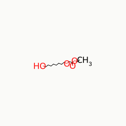 CCOC(=O)COCCCCCCCCO